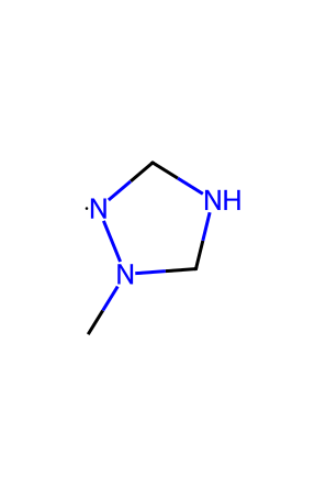 CN1CNC[N]1